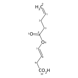 C=CCCC(=O)OC=CCC(=O)O